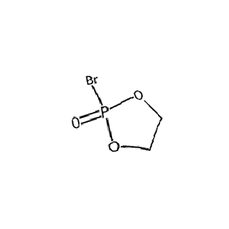 O=P1(Br)OCCO1